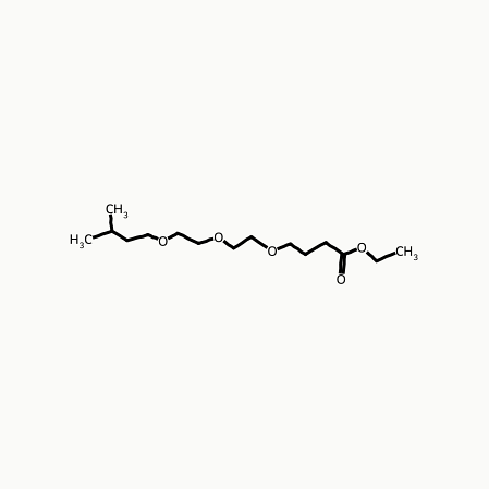 CCOC(=O)CCCOCCOCCOCCC(C)C